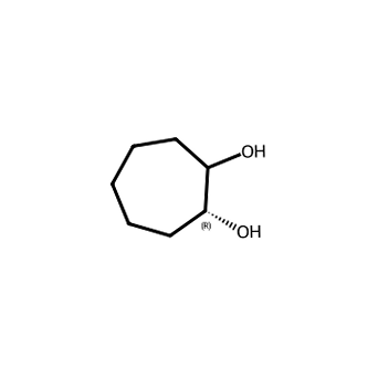 OC1CCCCC[C@H]1O